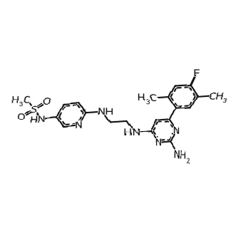 Cc1cc(-c2cc(NCCNc3ccc(NS(C)(=O)=O)cn3)nc(N)n2)c(C)cc1F